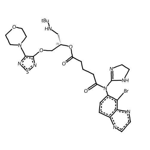 CC(C)(C)NC[C@@H](COc1nsnc1N1CCOCC1)OC(=O)CCCC(=O)N(C1=NCCN1)c1ccc2nccnc2c1Br